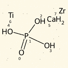 O=P(O)(O)O.[CaH2].[Ti].[Zr]